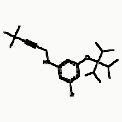 CC(C)[Si](Oc1cc(Br)cc(NCC#C[Si](C)(C)C)c1)(C(C)C)C(C)C